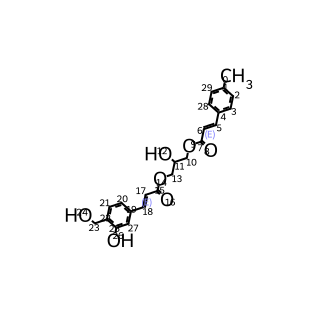 Cc1ccc(/C=C/C(=O)OCC(O)COC(=O)/C=C/c2ccc(CO)c(O)c2)cc1